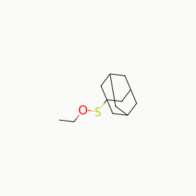 CCOSC12CC3CC(CC(C3)C1)C2